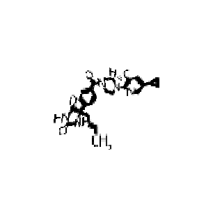 CCCCC1(c2ccc(C(=O)N3CCN(c4ncc(C5CC5)cc4C)CC3)cc2)NC(=O)NC1=O